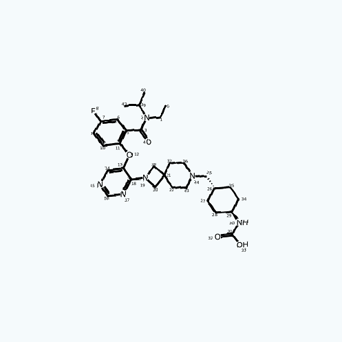 CCN(C(=O)c1cc(F)ccc1Oc1cncnc1N1CC2(CCN(C[C@H]3CC[C@H](NC(=O)O)CC3)CC2)C1)C(C)C